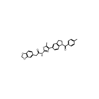 Cc1ccc(C(=O)N2CCc3cc(-c4nc(NC(=O)Cc5ccc6c(c5)OCO6)sc4C)ccc32)cc1